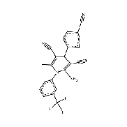 CC1=C(C#N)C(c2ccc(C#N)cc2)C(C#N)=C(N)N1c1cccc(C(F)(F)F)c1